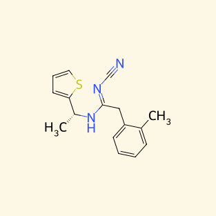 Cc1ccccc1C/C(=N\C#N)N[C@H](C)c1cccs1